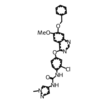 COc1cc2c(Oc3ccc(NC(=O)Nc4cnn(C)c4)c(Cl)c3)ncnc2cc1OCc1ccccc1